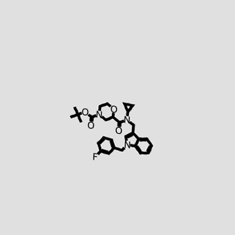 CC(C)(C)OC(=O)N1CCOC(C(=O)N(Cc2cn(Cc3cccc(F)c3)c3ccccc23)C2CC2)C1